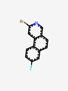 Fc1ccc2c(ccc3cnc(Br)cc32)c1